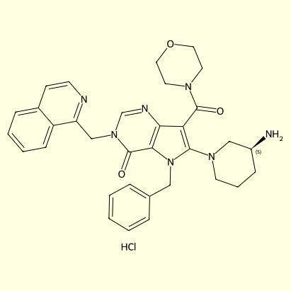 Cl.N[C@H]1CCCN(c2c(C(=O)N3CCOCC3)c3ncn(Cc4nccc5ccccc45)c(=O)c3n2Cc2ccccc2)C1